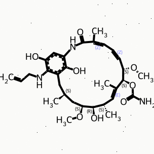 C=CCNc1c(O)cc2c(O)c1C[C@H](C)C[C@H](OC)[C@H](O)[C@@H](C)/C=C(\C)[C@H](OC(N)=O)[C@@H](OC)/C=C\C=C(\C)C(=O)N2